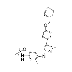 Cc1cc(NS(C)(=O)=O)ccc1Nc1cc(-c2ccc(OCc3ccccc3)cc2)[nH]n1